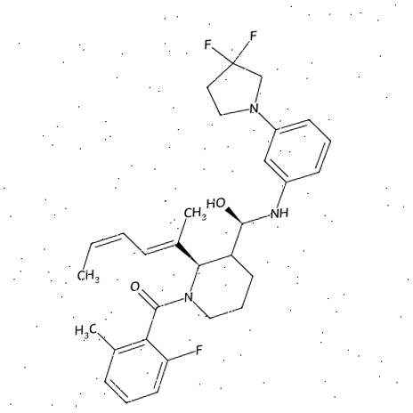 C/C=C\C=C(/C)[C@H]1C([C@@H](O)Nc2cccc(N3CCC(F)(F)C3)c2)CCCN1C(=O)c1c(C)cccc1F